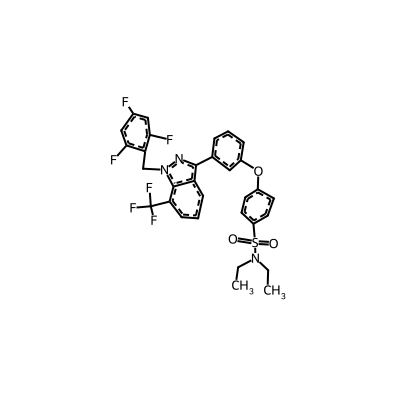 CCN(CC)S(=O)(=O)c1ccc(Oc2cccc(-c3nn(Cc4c(F)cc(F)cc4F)c4c(C(F)(F)F)cccc34)c2)cc1